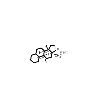 CCC[C@@H](C)[C@H]1CC[C@H]2[C@@H]3CCC4C[CH]CC[C@]4(C)[C@H]3CC[C@]12C